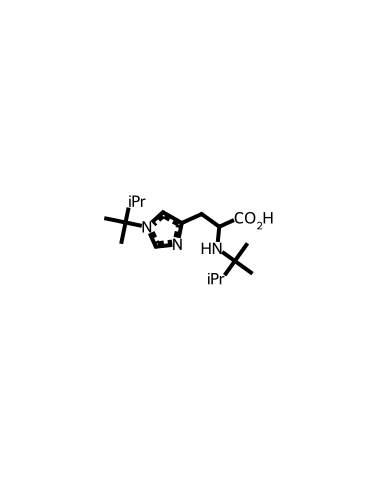 CC(C)C(C)(C)NC(Cc1cn(C(C)(C)C(C)C)cn1)C(=O)O